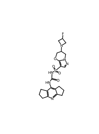 O=C(Nc1c2c(nc3c1CCC3)CCC2)NS(=O)(=O)c1cnn2c1OCC(N1CC(F)C1)C2